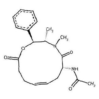 CC(=O)N[C@@H]1CC=CCCC(=O)O[C@@H](c2ccccc2)[C@H](C)N(C)C1=O